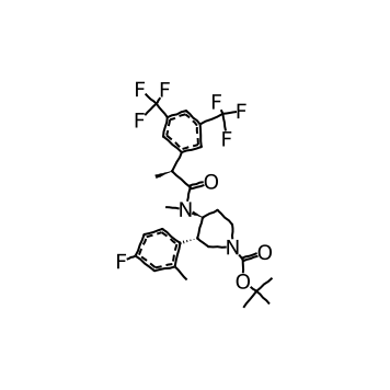 Cc1cc(F)ccc1[C@H]1CN(C(=O)OC(C)(C)C)CC[C@@H]1N(C)C(=O)[C@@H](C)c1cc(C(F)(F)F)cc(C(F)(F)F)c1